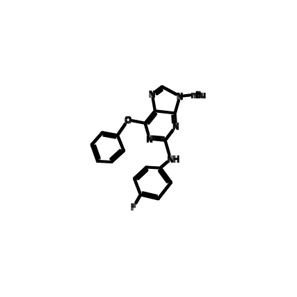 CCCCn1cnc2c(Oc3ccccc3)nc(Nc3ccc(F)cc3)nc21